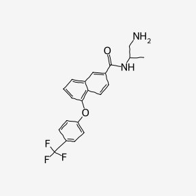 CC(CN)NC(=O)c1ccc2c(Oc3ccc(C(F)(F)F)cc3)cccc2c1